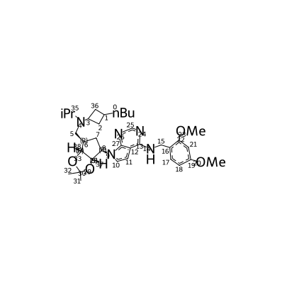 CCCCC1CC(N(C[C@H]2C[C@@H](n3ccc4c(NCc5ccc(OC)cc5OC)ncnc43)[C@@H]3OC(C)(C)O[C@H]23)C(C)C)C1